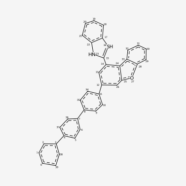 c1ccc(-c2ccc(-c3ccc(-c4cc(C5=[SH]c6ccccc6N5)c5c(c4)oc4ccccc45)cc3)cc2)cc1